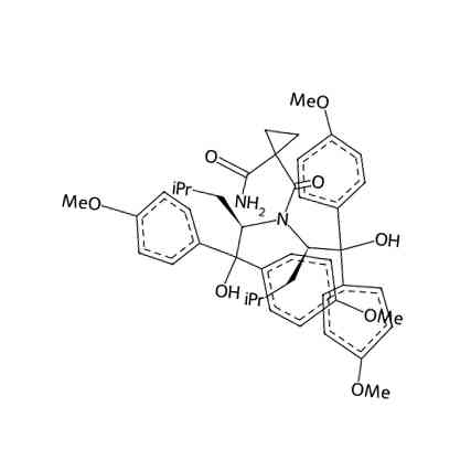 COc1ccc(C(O)(c2ccc(OC)cc2)[C@@H](CC(C)C)N(C(=O)C2(C(N)=O)CC2)[C@H](CC(C)C)C(O)(c2ccc(OC)cc2)c2ccc(OC)cc2)cc1